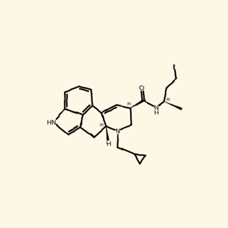 CCC[C@@H](C)NC(=O)[C@@H]1C=C2c3cccc4[nH]cc(c34)C[C@H]2N(CC2CC2)C1